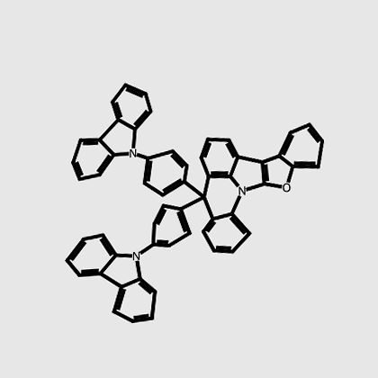 c1ccc2c(c1)-n1c3oc4ccccc4c3c3cccc(c31)C2(c1ccc(-n2c3ccccc3c3ccccc32)cc1)c1ccc(-n2c3ccccc3c3ccccc32)cc1